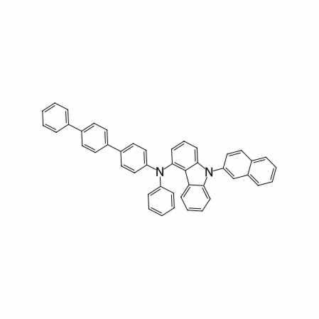 c1ccc(-c2ccc(-c3ccc(N(c4ccccc4)c4cccc5c4c4ccccc4n5-c4ccc5ccccc5c4)cc3)cc2)cc1